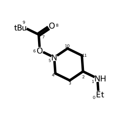 CCNC1CCN(OC(=O)C(C)(C)C)CC1